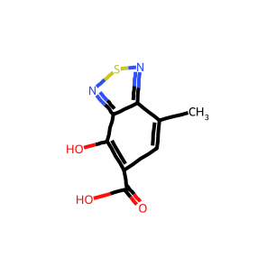 Cc1cc(C(=O)O)c(O)c2nsnc12